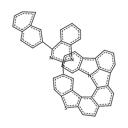 c1ccc2cc(-c3nc(-c4ccc5sc6ccc7ccc8c9cccc%10c%11ccccc%11n(c%109)c8c7c6c5c4)nc4ccccc34)ccc2c1